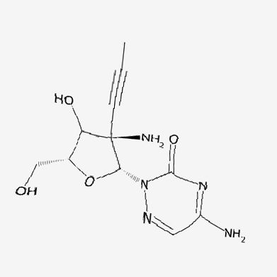 CC#C[C@@]1(N)C(O)[C@@H](CO)O[C@H]1n1ncc(N)nc1=O